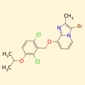 Cc1nc2c(OCc3c(Cl)ccc(OC(C)C)c3Cl)cccn2c1Br